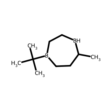 CC1BCCB(C(C)(C)C)CC1